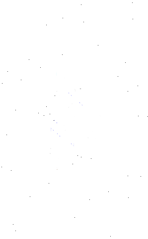 Cc1cc(-c2cn(-c3ccc(Br)cc3N3CCC4(CC3)CC4)nn2)cc(N2[C@H](C)CC(F)(F)C[C@@H]2C)n1